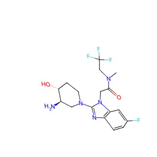 CN(CC(F)(F)F)C(=O)Cn1c(N2CC[C@@H](O)[C@H](N)C2)nc2ccc(F)cc21